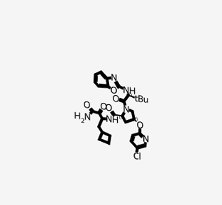 CC(C)(C)[C@H](Nc1nc2ccccc2o1)C(=O)N1C[C@H](Oc2ccc(Cl)cn2)C[C@H]1C(=O)NC(CC1CCC1)C(=O)C(N)=O